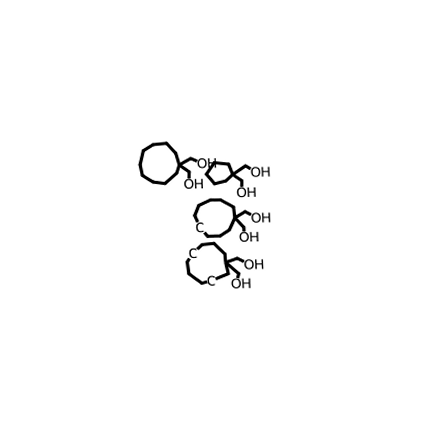 OCC1(CO)CCCCC1.OCC1(CO)CCCCCCCCC1.OCC1(CO)CCCCCCCCC1.OCC1(CO)CCCCCCCCC1